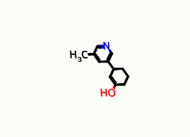 Cc1cncc(C2C=C(O)CCC2)c1